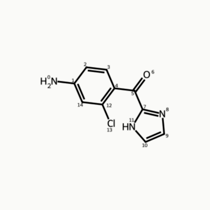 Nc1ccc(C(=O)c2ncc[nH]2)c(Cl)c1